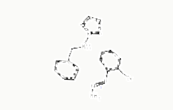 N/N=N/c1ccccc1Br.c1ccc(CNn2cccn2)cc1